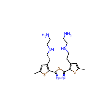 Cc1cc(CCNCCN)c(-c2nnc(-c3sc(C)cc3CCNCCN)s2)s1